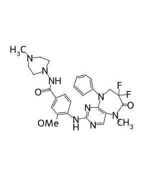 COc1cc(C(=O)NN2CCN(C)CC2)ccc1Nc1ncc2c(n1)N(c1ccccc1)CC(F)(F)C(=O)N2C